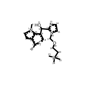 Cn1ccc2c(F)ccc(C(O)c3nccn3COCC[Si](C)(C)C)c21